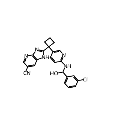 N#Cc1cnc2nc(C3(c4ccc(NC(O)c5cccc(Cl)c5)nc4)CCC3)[nH]c2c1